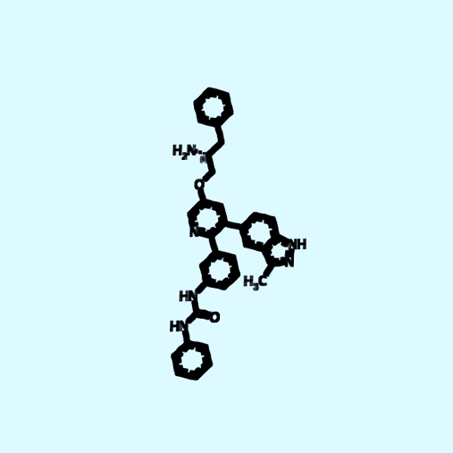 Cc1n[nH]c2ccc(-c3cc(OC[C@H](N)Cc4ccccc4)cnc3-c3cccc(NC(=O)Nc4ccccc4)c3)cc12